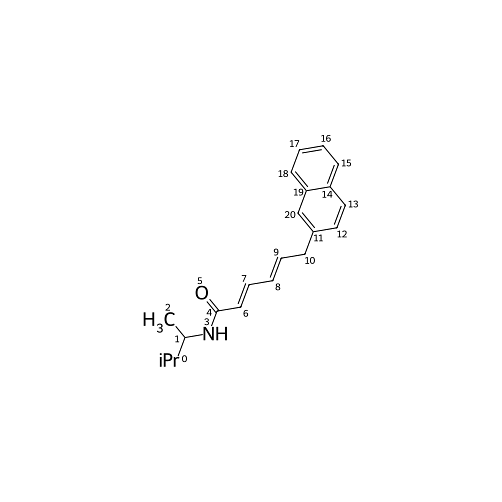 CC(C)C(C)NC(=O)/C=C/C=C/Cc1ccc2ccccc2c1